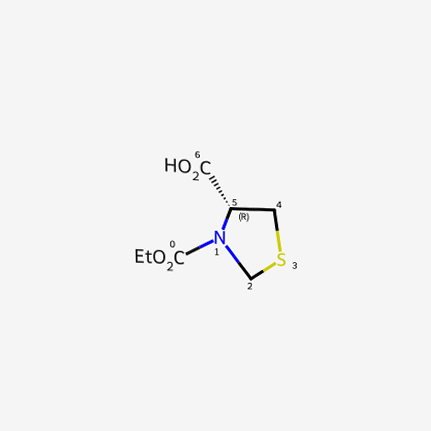 CCOC(=O)N1CSC[C@H]1C(=O)O